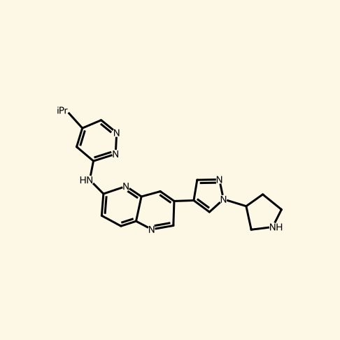 CC(C)c1cnnc(Nc2ccc3ncc(-c4cnn(C5CCNC5)c4)cc3n2)c1